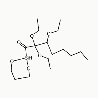 CCCCCC(OCC)C(OCC)(OCC)C(=O)[SiH]1CCCCO1